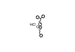 Cl.O=C1N(CCCc2ccccc2)CCC12CCN(CCC(c1ccccc1)c1ccccc1)CC2